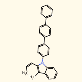 C/C=C\c1c(C)c2ccccc2n1-c1ccc(-c2ccc(-c3ccccc3)cc2)cc1